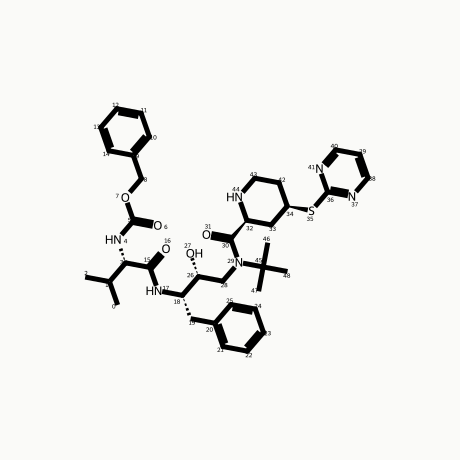 CC(C)[C@H](NC(=O)OCc1ccccc1)C(=O)N[C@@H](Cc1ccccc1)[C@H](O)CN(C(=O)[C@@H]1C[C@H](Sc2ncccn2)CCN1)C(C)(C)C